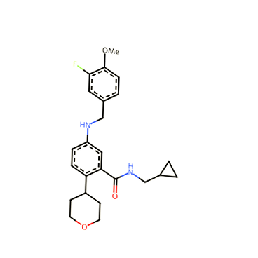 COc1ccc(CNc2ccc(C3CCOCC3)c(C(=O)NCC3CC3)c2)cc1F